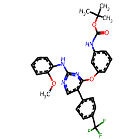 COc1ccccc1Nc1ncc(-c2ccc(C(F)(F)F)cc2)c(Oc2cccc(NC(=O)OC(C)(C)C)c2)n1